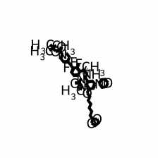 C[C@@H](Nc1nc(=O)n(C)c2c(OCCCCCCC3OCCO3)cc(N3CCOCC3)cc12)c1cccc(C(F)(F)C2CCN(C(=O)OC(C)(C)C)CC2)c1F